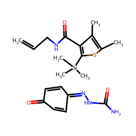 C=CCNC(=O)c1c([Si](C)(C)C)sc(C)c1C.NC(=O)NN=C1C=CC(=O)C=C1